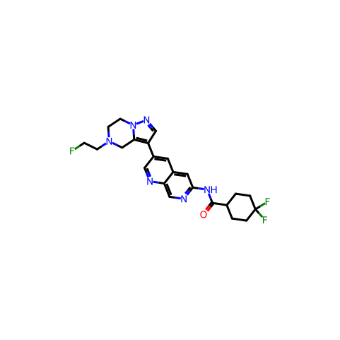 O=C(Nc1cc2cc(-c3cnn4c3CN(CCF)CC4)cnc2cn1)C1CCC(F)(F)CC1